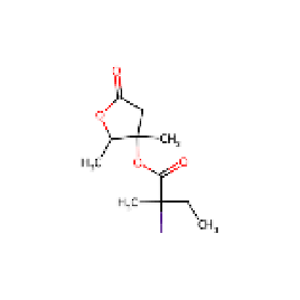 CCC(C)(I)C(=O)OC1(C)CC(=O)OC1C